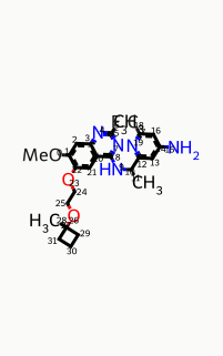 COc1cc2nc(C)nc(N[C@H](C)c3cc(N)cc(C(F)(F)F)n3)c2cc1OCCOC1(C)CCC1